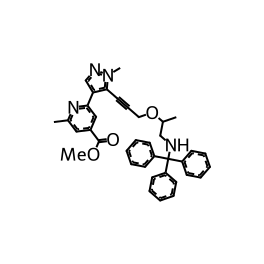 COC(=O)c1cc(C)nc(-c2cnn(C)c2C#CCOC(C)CNC(c2ccccc2)(c2ccccc2)c2ccccc2)c1